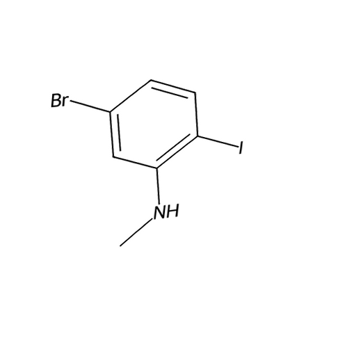 CNc1cc(Br)ccc1I